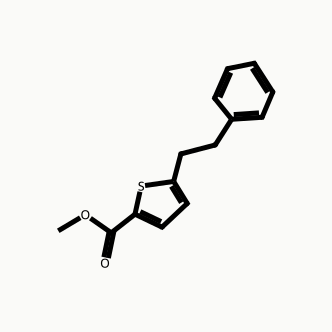 COC(=O)c1ccc(CCc2ccccc2)s1